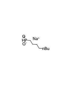 CCCCCCCC[PH](=O)[O-].[Na+]